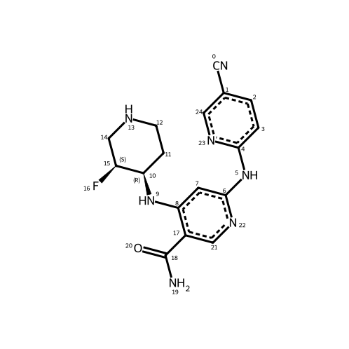 N#Cc1ccc(Nc2cc(N[C@@H]3CCNC[C@@H]3F)c(C(N)=O)cn2)nc1